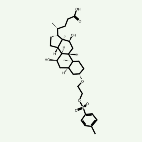 Cc1ccc(S(=O)(=O)OCCO[C@H]2CC[C@@]3(C)[C@@H](C2)C[C@@H](O)[C@@H]2[C@@H]3C[C@H](O)[C@]3(C)[C@@H]([C@H](C)CCC(=O)O)CC[C@@H]23)cc1